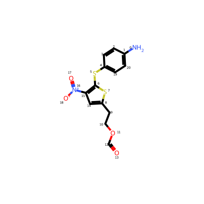 Nc1ccc(Sc2sc(CCOC=O)cc2[N+](=O)[O-])cc1